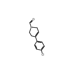 O=CN1CC=C(c2ccc(Cl)cc2)CC1